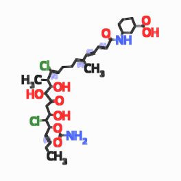 CC/C=C/C(OC(N)=O)C(Cl)C(O)CC(=O)C(O)C(O)C(C)/C(Cl)=C/CC/C=C(C)/C=C/C=C/C(=O)NC1CCCC(C(=O)O)C1